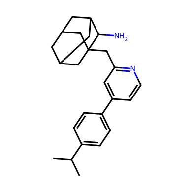 CC(C)c1ccc(-c2ccnc(CC34CC5CC(CC(C5)C3N)C4)c2)cc1